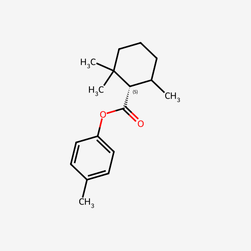 Cc1ccc(OC(=O)[C@H]2C(C)CCCC2(C)C)cc1